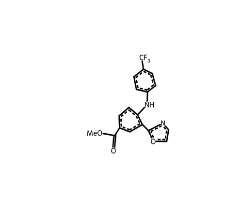 COC(=O)c1ccc(Nc2ccc(C(F)(F)F)cc2)c(-c2ncco2)c1